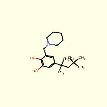 CC(C)(C)CC(C)(C)c1cc(O)c(O)c(CN2CCCCC2)c1